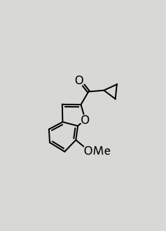 COc1cccc2cc(C(=O)C3CC3)oc12